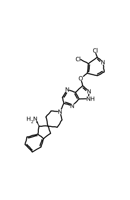 N[C@@H]1c2ccccc2CC12CCN(c1cnc3c(Oc4ccnc(Cl)c4Cl)n[nH]c3n1)CC2